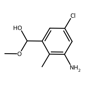 COC(O)c1cc(Cl)cc(N)c1C